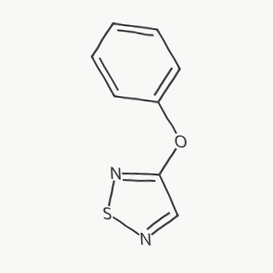 c1ccc(Oc2cnsn2)cc1